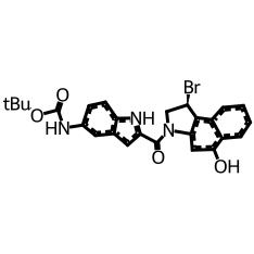 CC(C)(C)OC(=O)Nc1ccc2[nH]c(C(=O)N3C[C@@H](Br)c4c3cc(O)c3ccccc43)cc2c1